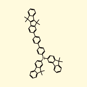 CC1(C)C2=C(c3ccccc31)C(C)(C)c1cc(-c3ccc(-c4ccc(N(c5ccc6c(c5)-c5ccccc5C6(C)C)c5ccc6c(c5)C(C)(C)c5ccccc5-6)cc4)cc3)ccc12